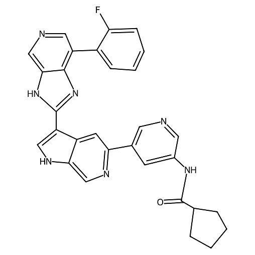 O=C(Nc1cncc(-c2cc3c(-c4nc5c(-c6ccccc6F)cncc5[nH]4)c[nH]c3cn2)c1)C1CCCC1